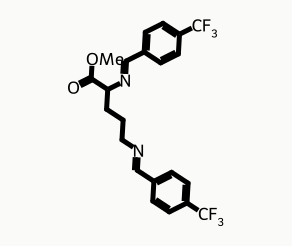 COC(=O)C(CCC/N=C/c1ccc(C(F)(F)F)cc1)/N=C/c1ccc(C(F)(F)F)cc1